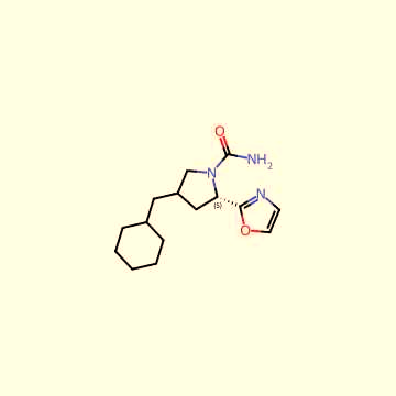 NC(=O)N1C[C](CC2CCCCC2)C[C@H]1c1ncco1